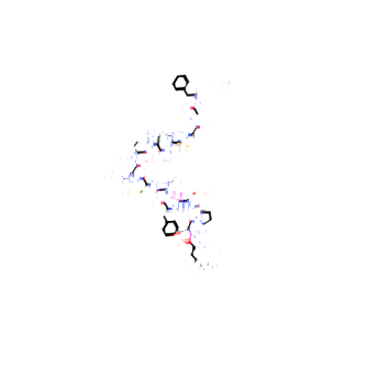 CSCC[C@H](N)C(=O)N[C@@H](CO)C(=O)N1CCC[C@H]1C(=O)N[C@@H](CO)C(=O)N[C@@H](Cc1ccccc1)C(=O)N[C@H](C(=O)N[C@@H](CS)C(=O)N[C@@H](C)C(=O)N[C@@H](CC(C)C)C(=O)N[C@@H](C)C(=O)N[C@H](C(=O)N[C@@H](CS)C(=O)NCC(=O)N[C@@H](Cc1ccccc1)C(=O)O)C(C)C)C(C)C